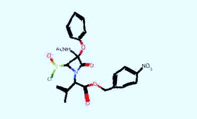 C=C(C)C(C(=O)OCc1ccc([N+](=O)[O-])cc1)N1C(=O)C(NC(C)=O)(Oc2ccccc2)C1[S+]([O-])Cl